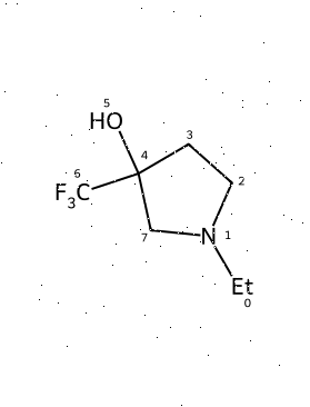 CCN1CCC(O)(C(F)(F)F)C1